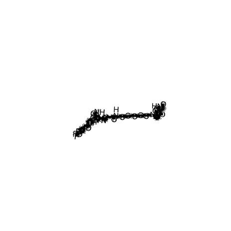 NC(=O)c1cc(-c2cn(CCCC(=O)NCCOCCOCCOCCOCCOCCNc3cccc4c3C(=O)N(C3CCC(=O)NC3=O)C4=O)cn2)cnc1O[C@@H]1CCN(C(=O)Cc2ccc(OC(F)(F)F)cc2)C[C@H]1F